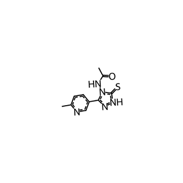 CC(=O)Nn1c(-c2ccc(C)nc2)n[nH]c1=S